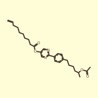 C=CCCCCCCCC(=O)Oc1cnc(-c2ccc(CCCCC(C)OC(C)=O)cc2)nc1